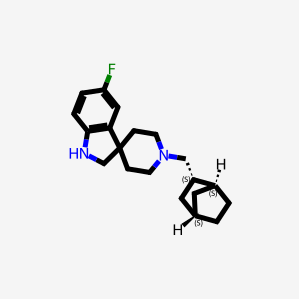 Fc1ccc2c(c1)C1(CCN(C[C@H]3C[C@H]4CC[C@H]3C4)CC1)CN2